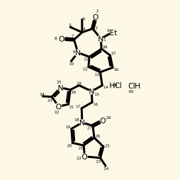 CCN1C(=O)C(C)(C)C(=O)N(C)c2cc(CN(CCn3ccc4oc(C)cc4c3=O)Cc3coc(C)n3)ccc21.Cl.Cl